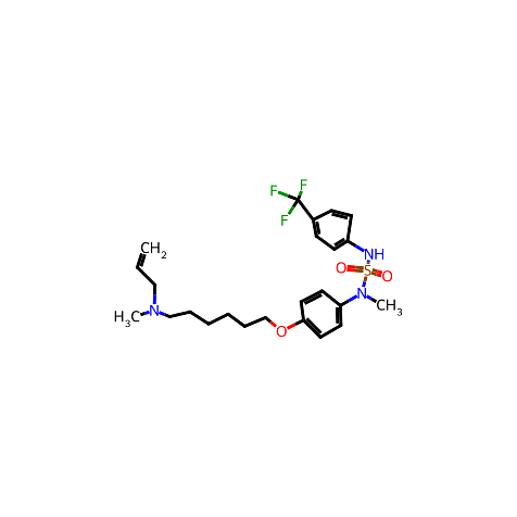 C=CCN(C)CCCCCCOc1ccc(N(C)S(=O)(=O)Nc2ccc(C(F)(F)F)cc2)cc1